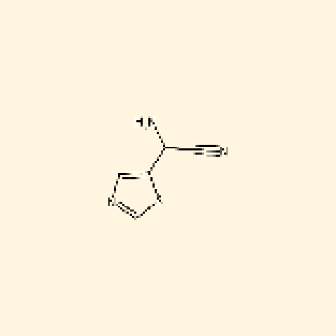 N#CC(N)c1cncs1